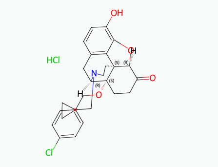 Cl.O=C1CC[C@@]2(OCc3ccc(Cl)cc3)[C@H]3Cc4ccc(O)c5c4[C@@]2(CCN3CC2CC2)[C@H]1O5